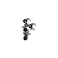 C[C@@H]1C[C@H](N)CN(c2nc(Nc3ccc(NC(=O)c4nc5ccccc5nc4O)c(Cl)c3)nc(N3C[C@H](N)C[C@H](N)C3)n2)C1